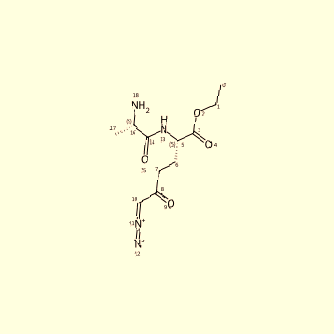 CCOC(=O)[C@H](CCC(=O)C=[N+]=[N-])NC(=O)[C@H](C)N